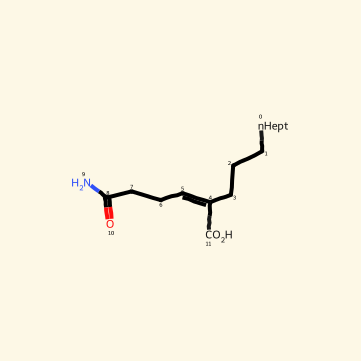 CCCCCCCCCCC(=CCCC(N)=O)C(=O)O